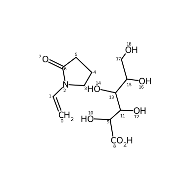 C=CN1CCCC1=O.O=C(O)C(O)C(O)C(O)C(O)CO